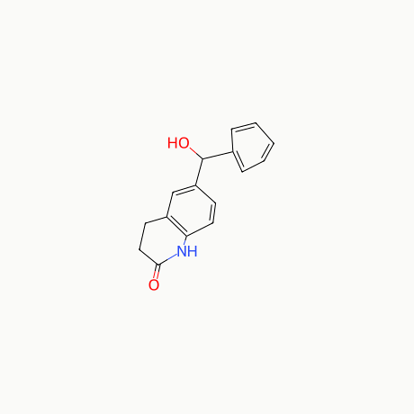 O=C1CCc2cc(C(O)c3ccccc3)ccc2N1